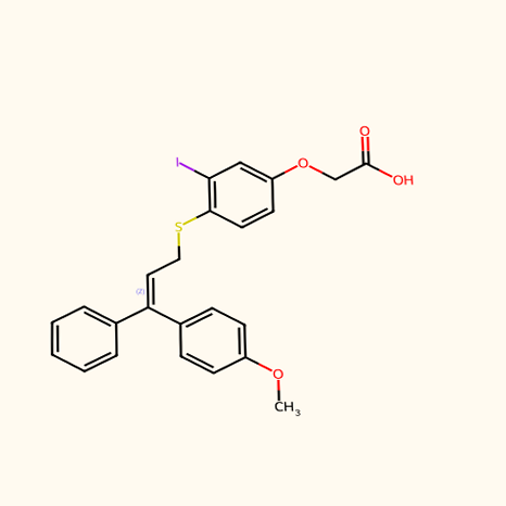 COc1ccc(/C(=C\CSc2ccc(OCC(=O)O)cc2I)c2ccccc2)cc1